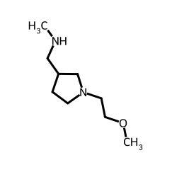 CNCC1CCN(CCOC)C1